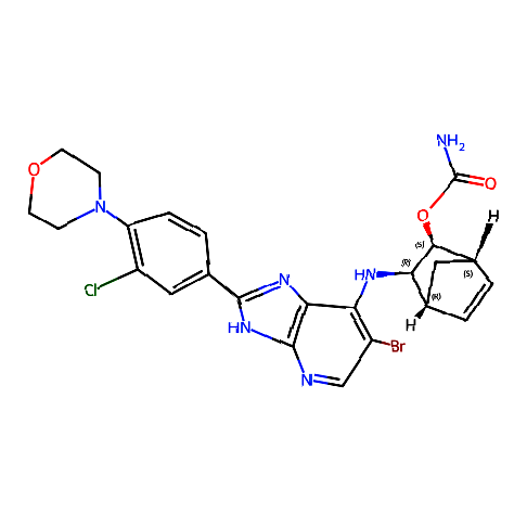 NC(=O)O[C@@H]1[C@H](Nc2c(Br)cnc3[nH]c(-c4ccc(N5CCOCC5)c(Cl)c4)nc23)[C@H]2C=C[C@@H]1C2